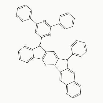 c1ccc(-c2cc(-n3c4ccccc4c4cc5c6cc7ccccc7cc6n(-c6ccccc6)c5cc43)nc(-c3ccccc3)n2)cc1